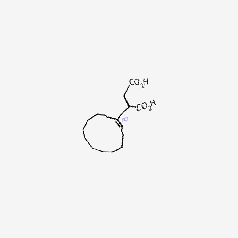 O=C(O)CC(C(=O)O)/C1=C/CCCCCCCCCC1